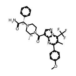 COc1ccc(-c2nc3c(C(=O)N4CCN([C@H](C(N)=O)c5ccccc5)C[C@H]4C)cnn3c(C(F)(F)F)c2C)cc1